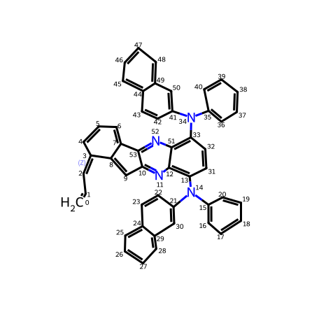 C=C/C=c1/cccc2c1=Cc1nc3c(N(c4ccccc4)c4ccc5ccccc5c4)ccc(N(c4ccccc4)c4ccc5ccccc5c4)c3nc1-2